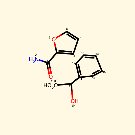 NC(=O)c1ccco1.O=C(O)C(O)c1ccccc1